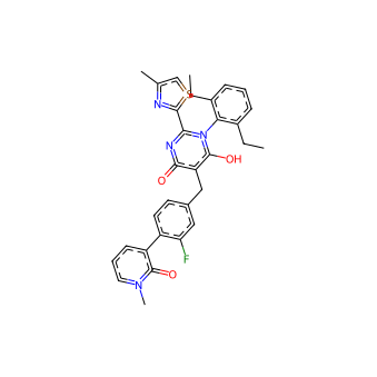 CCc1cccc(CC)c1-n1c(-c2nc(C)cs2)nc(=O)c(Cc2ccc(-c3cccn(C)c3=O)c(F)c2)c1O